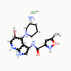 Cc1cc(C(=O)Nc2c[nH]c3ncc(Br)c(N4CCC[C@@H](N)C4)c23)no1.Cl